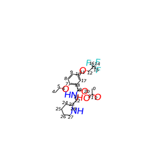 CC(=O)O.CCOc1ccc(OCC(F)(F)F)cc1C(=O)NCC1CCCCN1